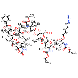 CCC1O[C@@H](OC2[C@H](O)C(CO)O[C@@H](O[C@@H]3C(CC)O[C@@H](O[C@@H]4C(CC)O[C@@H](OCCCCCN=[N+]=[N-])[C@@H](NC(=O)OCC(Cl)(Cl)Cl)C4C)[C@@H](NC(=O)OCC(Cl)(Cl)Cl)C3C)[C@@H]2C)[C@@H](O[C@@H]2OC(CC)[C@@H](O[C@@H]3OC(CO[C@]4(C(=O)OC)C[C@H]5OC(=O)N[C@H]5C([C@H](OC(C)=O)[C@@H](CC)OC(C)=O)O4)[C@H](C)C(C)[C@@H]3OC(=O)c3ccccc3)C(C)[C@@H]2NC(=O)OCC(Cl)(Cl)Cl)C(C)[C@H]1C